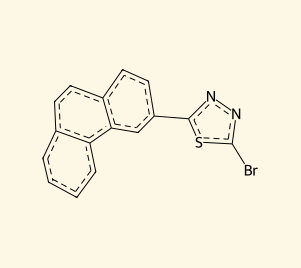 Brc1nnc(-c2ccc3ccc4ccccc4c3c2)s1